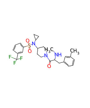 CNC(Cc1cccc(C)c1)C(=O)N1CCC(N(C2CC2)S(=O)(=O)c2cccc(C(F)(F)F)c2)CC1